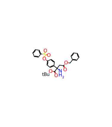 CC(C)(C)OC(=O)C(N)(CC(=O)OCc1ccccc1)c1ccc(OS(=O)(=O)c2ccccc2)cc1